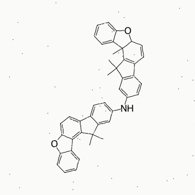 CC1(C)C2=C(C=CC3Oc4ccccc4C23C)c2ccc(Nc3ccc4c(c3)C(C)(C)c3c-4ccc4oc5ccccc5c34)cc21